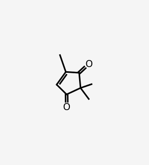 CC1=CC(=O)C(C)(C)C1=O